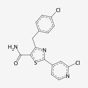 NC(=O)c1sc(-c2ccnc(Cl)c2)nc1Cc1ccc(Cl)cc1